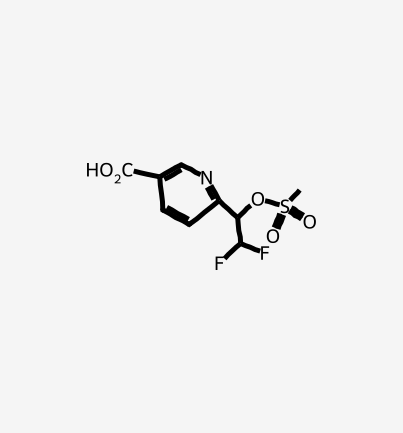 CS(=O)(=O)OC(c1ccc(C(=O)O)cn1)C(F)F